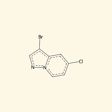 Clc1ccn2ncc(Br)c2c1